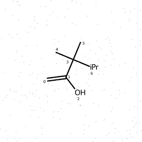 C=C(O)C(C)(C)C(C)C